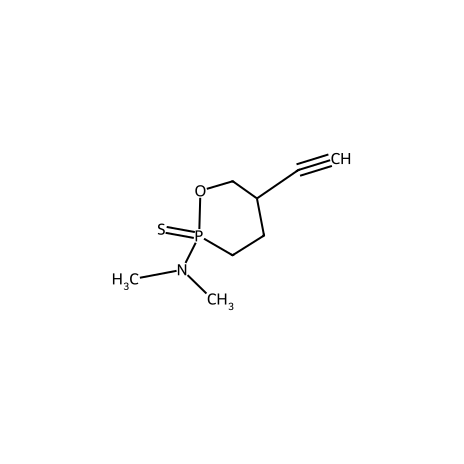 C#CC1CCP(=S)(N(C)C)OC1